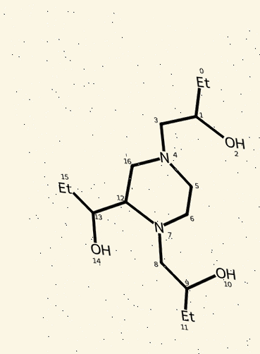 CCC(O)CN1CCN(CC(O)CC)C(C(O)CC)C1